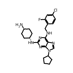 N[C@H]1CC[C@H](Nc2nc(NCc3ccc(Cl)cc3F)c3ncn(C4CCCC4)c3n2)CC1